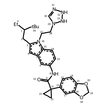 CCC(Cc1cc2cc(NC(=O)C3(c4ccc5c(c4)OCO5)CC3)ccc2n1CCN1C=NNN1)C(C)(C)C